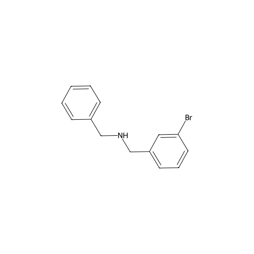 Brc1cccc(CNCc2ccccc2)c1